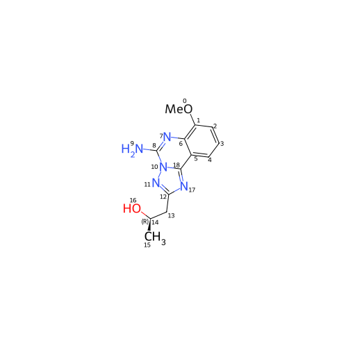 COc1cccc2c1nc(N)n1nc(C[C@@H](C)O)nc21